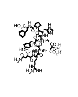 CC(C)[C@H](NC(=O)[C@H](CCCNC(=N)N)NC(=O)[C@@H](N)CC(N)=O)C(=O)N[C@@H](Cc1ccc(O)cc1)C(=O)N[C@H](C(=O)N[C@@H](Cc1cnc[nH]1)C(=O)N1CCC[C@H]1C(=O)N[C@@H](Cc1ccccc1)C(=O)O)C(C)C.NC(CC(=O)O)C(=O)O